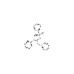 O=S(=O)(N=C(Cc1ccccc1)Nc1ccccn1)c1ccccc1